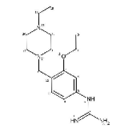 CCOc1cc(NC(=N)N)ccc1CN1CCN(CC)CC1